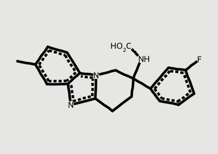 Cc1ccc2c(c1)nc1n2CC(NC(=O)O)(c2cccc(F)c2)CC1